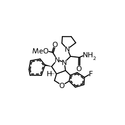 COC(=O)N1[C@H](c2ccccc2)[C@@H]2COc3ccc(F)cc3C2N1C(C(N)=O)N1CCCC1